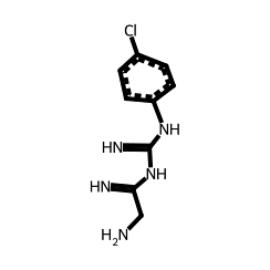 N=C(CN)NC(=N)Nc1ccc(Cl)cc1